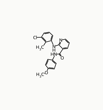 COc1ccc(NC(=O)c2cccnc2Nc2cccc(Cl)c2C)cc1